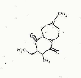 CC[C@H]1C(=O)N2CCN(C)CCN2C(=O)[C@H]1C